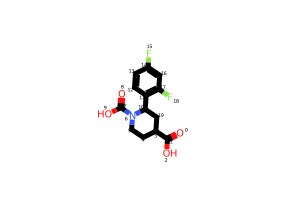 O=C(O)C1CCN(C(=O)O)C(c2ccc(F)cc2F)C1